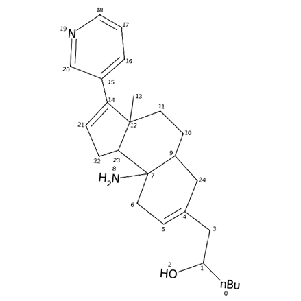 CCCCC(O)CC1=CCC2(N)C(CCC3(C)C(c4cccnc4)=CCC32)C1